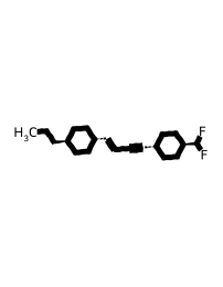 CCC[C@H]1CC[C@H](C=CC#C[C@H]2CC[C@H](C(F)F)CC2)CC1